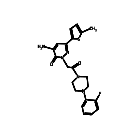 Cc1ccc(-c2cc(N)c(=O)n(CC(=O)N3CCN(c4ccccc4F)CC3)n2)s1